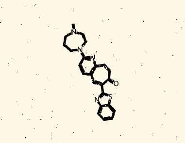 CN1CCCN(c2ccc3c(n2)CCC(=O)C(c2nc4ccccc4s2)=C3)CC1